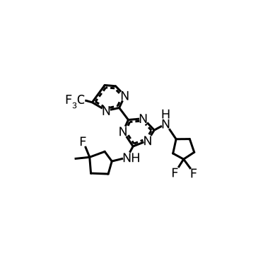 CC1(F)CCC(Nc2nc(NC3CCC(F)(F)C3)nc(-c3nccc(C(F)(F)F)n3)n2)C1